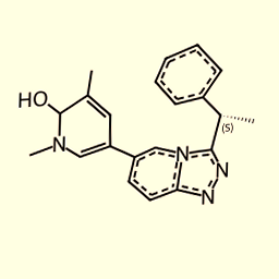 CC1=CC(c2ccc3nnc([C@@H](C)c4ccccc4)n3c2)=CN(C)C1O